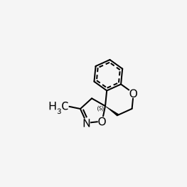 CC1=NO[C@]2(CCOc3ccccc32)C1